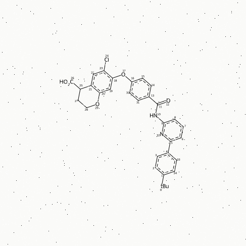 CC(C)(C)c1ccc(-c2cccc(NC(=O)c3ccc(Oc4cc5c(cc4Cl)C(C(=O)O)CCO5)cc3)n2)cc1